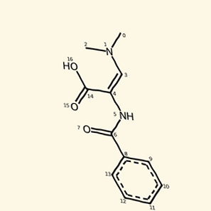 CN(C)C=C(NC(=O)c1ccccc1)C(=O)O